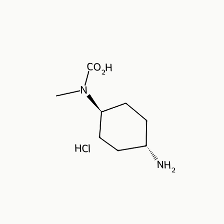 CN(C(=O)O)[C@H]1CC[C@H](N)CC1.Cl